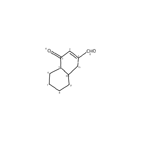 O=CC1=CC(=O)C2CCCCC2C1